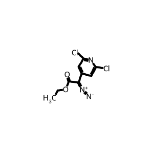 CCOC(=O)C(=[N+]=[N-])c1cc(Cl)nc(Cl)c1